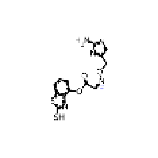 Nc1nc(CO/N=C\C(=O)Oc2cccc3sc(S)nc23)cs1